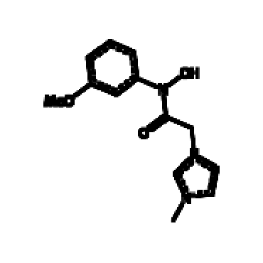 COc1cccc(N(O)C(=O)Cn2cc[n+](C)c2)c1